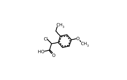 CCc1cc(OC)ccc1C(Cl)C(=O)O